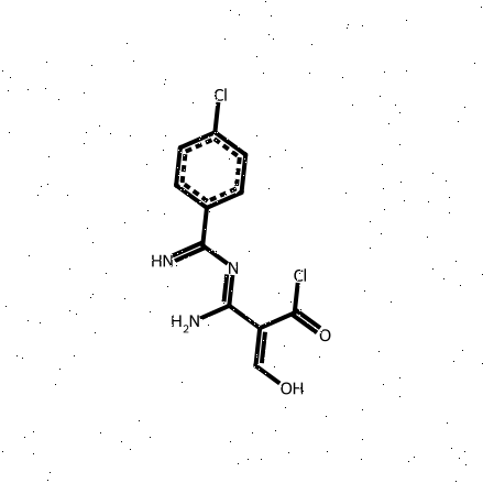 N=C(/N=C(\N)C(=CO)C(=O)Cl)c1ccc(Cl)cc1